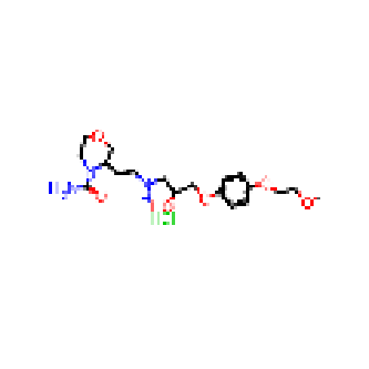 COCCOc1ccc(OCC(O)CNCCC2COCCN2C(N)=O)cc1.Cl